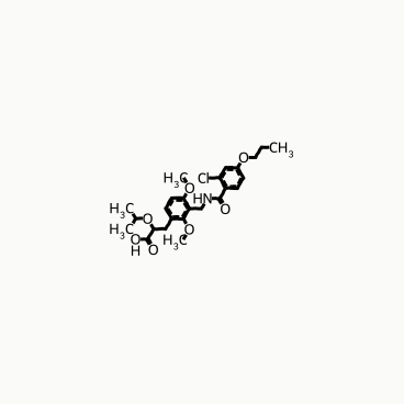 CCCOc1ccc(C(=O)NCc2c(OC)ccc(CC(OC(C)C)C(=O)O)c2OC)c(Cl)c1